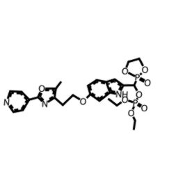 CCOP(=O)(OCC)OC(c1cc2ccc(OCCc3nc(-c4ccncc4)oc3C)cc2[nH]1)P1(=O)OCCO1